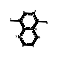 Cc1ncc(C)c2ncccc12